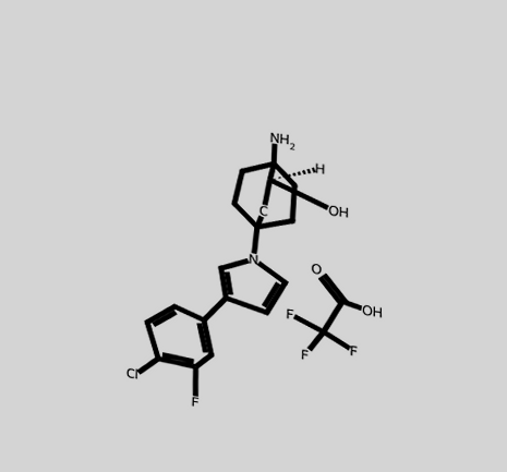 NC12CCC(n3ccc(-c4ccc(Cl)c(F)c4)c3)(CC1)C[C@@H]2O.O=C(O)C(F)(F)F